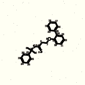 CC(C)(SC(=S)CCOc1ccccc1-c1ccccc1)c1ccccc1